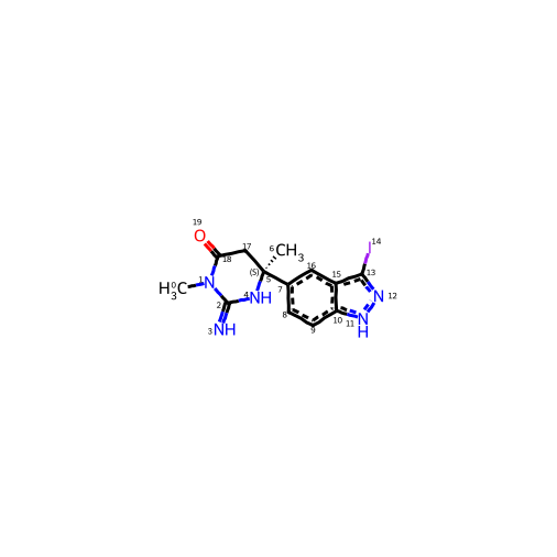 CN1C(=N)N[C@](C)(c2ccc3[nH]nc(I)c3c2)CC1=O